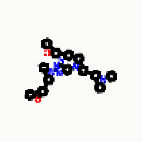 c1ccc(-n2c3ccccc3c3cc(-c4ccc5c(c4)c4ccccc4n5-c4ccc5nc(-n6c7ccccc7c7cc(-c8ccc9oc%10ccccc%10c9c8)ccc76)nc(-n6c7ccccc7c7cc8c(cc76)oc6ccccc68)c5c4)ccc32)cc1